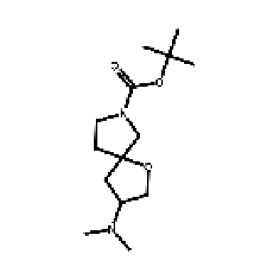 CN(C)C1COC2(CCN(C(=O)OC(C)(C)C)C2)C1